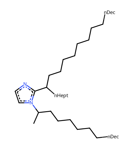 CCCCCCCCCCCCCCCCCCC(CCCCCCC)c1nccn1C(C)CCCCCCCCCCCCCCCC